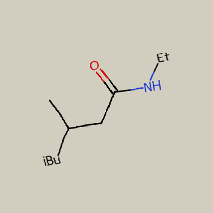 CCNC(=O)CC(C)C(C)CC